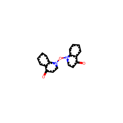 O=c1ccn(On2ccc(=O)c3ccccc32)c2ccccc12